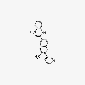 CC(=O)N(Cc1ccc(C(=O)Nc2ccccc2N)cc1)c1cccnc1